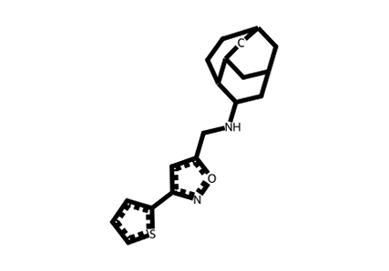 c1csc(-c2cc(CNC3CC4CC5CCC3C(C5)C4)on2)c1